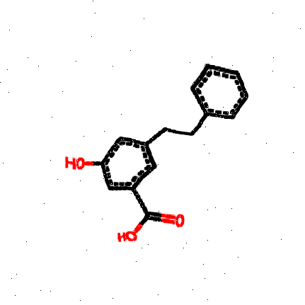 O=C(O)c1cc(O)cc(CCc2ccccc2)c1